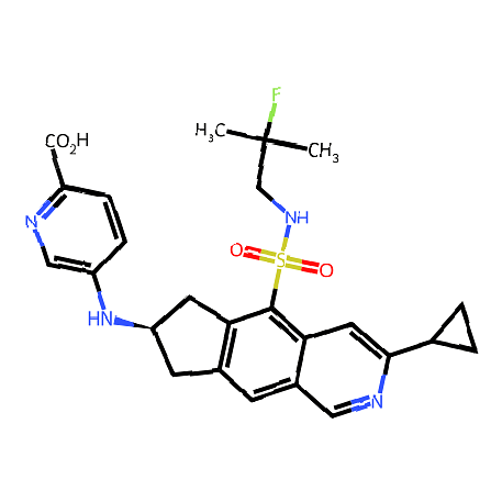 CC(C)(F)CNS(=O)(=O)c1c2c(cc3cnc(C4CC4)cc13)C[C@@H](Nc1ccc(C(=O)O)nc1)C2